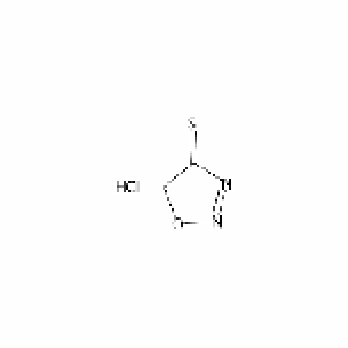 Cl.S=C1CON=N1